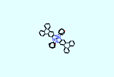 c1ccc(N2c3cc4c5ccccc5c5ccccc5c4cc3N(c3ccccc3)C23N(c2ccccc2)c2cc4c5ccccc5c5ccccc5c4cc2N3c2ccccc2)cc1